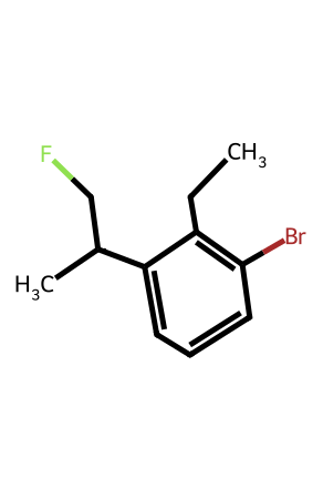 CCc1c(Br)cccc1[C](C)CF